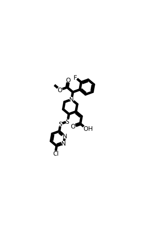 COC(=O)C(c1ccccc1F)N1CCC(SSc2ccc(Cl)nn2)/C(=C\C(=O)O)C1